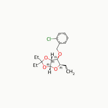 C=C[C@H]1O[C@@H]2OC(CC)(CC)O[C@@H]2[C@H]1OCc1ccccc1Cl